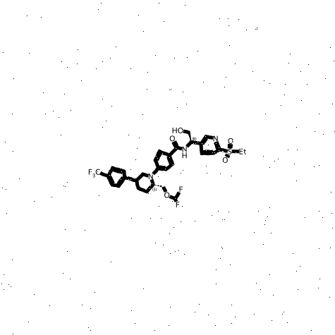 CCS(=O)(=O)c1ccc([C@H](CO)NC(=O)c2ccc(N3CC(c4ccc(C(F)(F)F)cc4)CC[C@H]3COC(F)F)cc2)cn1